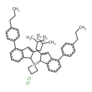 CCCc1ccc(-c2cccc3c2C=C(CC(C)C)[CH]3[Ti+2]2([CH]3C(CC(C)C)=Cc4c(-c5ccc(CCC)cc5)cccc43)[CH2]C[CH2]2)cc1.[Cl-].[Cl-]